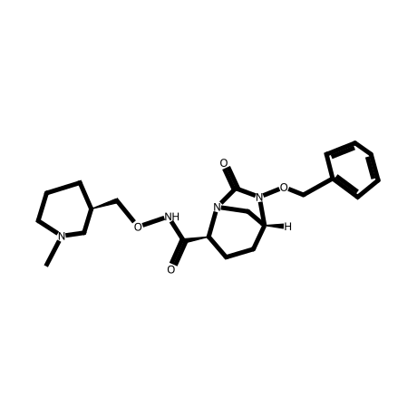 CN1CCC[C@@H](CONC(=O)[C@@H]2CC[C@@H]3CN2C(=O)N3OCc2ccccc2)C1